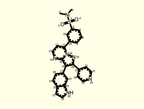 CN(C)S(=O)(=O)c1cccc(-c2ccnc3c(-c4ccc5cc[nH]c5c4)c(-c4ccncc4)nn23)c1